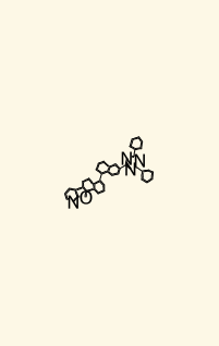 c1ccc(-c2nc(-c3ccccc3)nc(-c3ccc4c(-c5cccc6c5ccc5c7cccnc7oc65)cccc4c3)n2)cc1